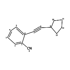 N#Cc1ccccc1C#CC1CCCC1